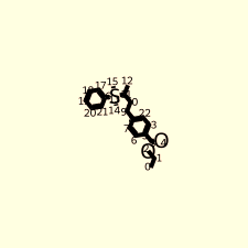 CCOC(=O)c1ccc(CCC(C)S(C)(C)c2ccccc2)cc1